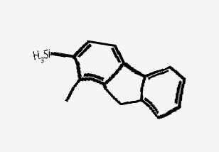 Cc1c([SiH3])ccc2c1Cc1ccccc1-2